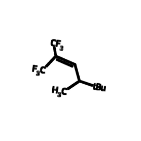 CC(C=C(C(F)(F)F)C(F)(F)F)C(C)(C)C